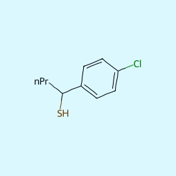 [CH2]CCC(S)c1ccc(Cl)cc1